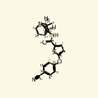 C[C@H]1[C@H](NC(=O)c2ccc(Oc3ccc(C#N)cc3)s2)C2CCN1CC2